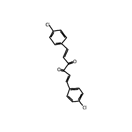 O=C(C=Cc1ccc(Cl)cc1)C(=O)C=Cc1ccc(Cl)cc1